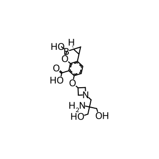 NC(CO)(CO)CN1CC(Oc2ccc3c(c2C(=O)O)OB(O)[C@H]2CC32)C1